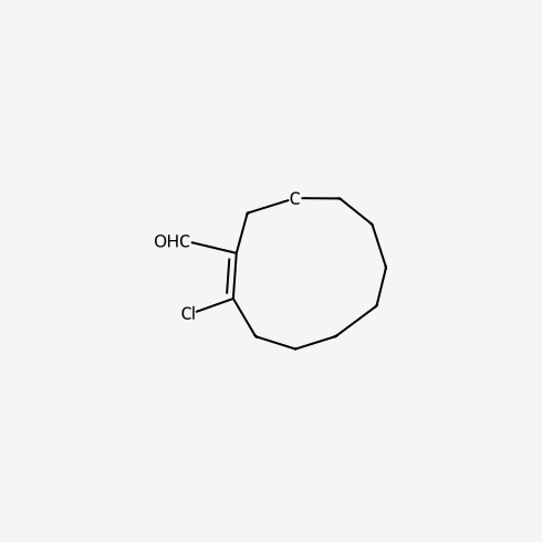 O=C/C1=C(\Cl)CCCCCCCCC1